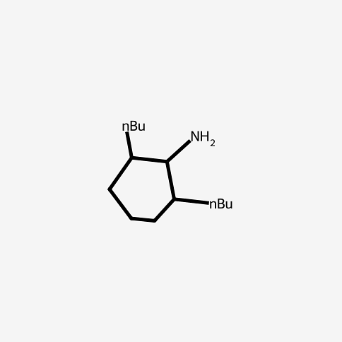 CCCCC1CCCC(CCCC)C1N